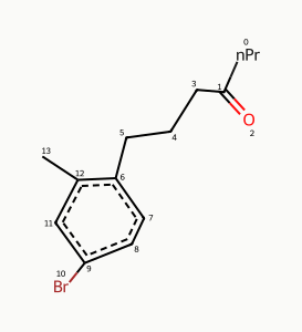 CCCC(=O)CCCc1ccc(Br)cc1C